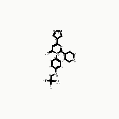 O=c1cc(C2C=NNC2)nc(C2CCOCC2)n1-c1ccc(OCC(F)(F)P)cc1